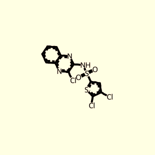 O=S(=O)(Nc1nc2ccccc2nc1Cl)c1cc(Cl)c(Cl)s1